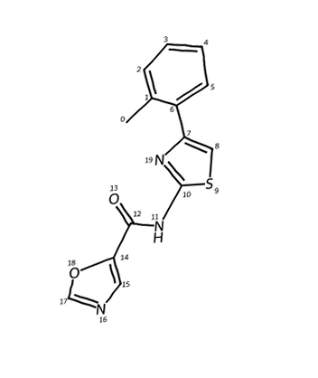 Cc1ccccc1-c1csc(NC(=O)c2cnco2)n1